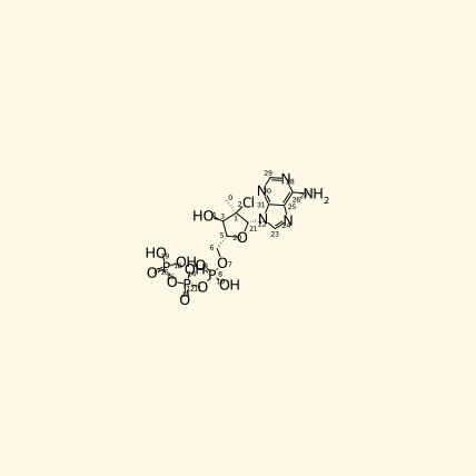 C[C@@]1(Cl)[C@H](O)[C@@H](COP(=O)(O)OP(=O)(O)OP(=O)(O)O)O[C@H]1n1cnc2c(N)ncnc21